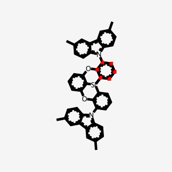 Cc1ccc2c(c1)c1cc(C)ccc1n2-c1cccc2c1Oc1cccc3c1[Si]2(c1ccccc1)c1cccc(-n2c4ccc(C)cc4c4cc(C)ccc42)c1O3